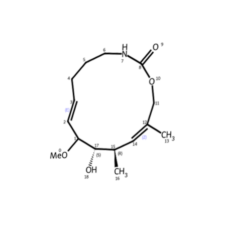 COC1/C=C/CCCNC(=O)OC/C(C)=C\[C@@H](C)[C@@H]1O